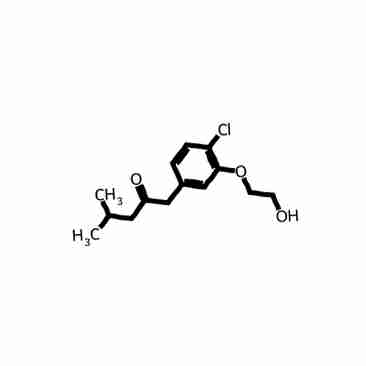 CC(C)CC(=O)Cc1ccc(Cl)c(OCCO)c1